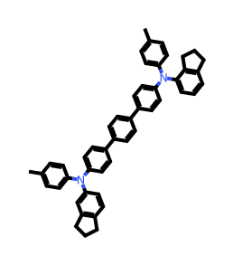 Cc1ccc(N(c2ccc(-c3ccc(-c4ccc(N(c5ccc(C)cc5)c5cccc6c5CCC6)cc4)cc3)cc2)c2ccc3c(c2)CCC3)cc1